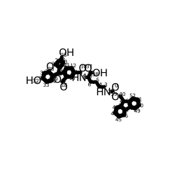 O=C(NCCCCC(NC(=O)c1ccc2c(c1)C(=O)OC21c2ccc(O)cc2Oc2cc(O)ccc21)C(=O)O)OCC1c2ccccc2-c2ccccc21